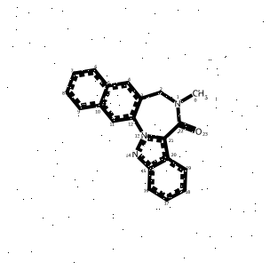 CN1Cc2cc3ccccc3cc2-n2nc3ccccc3c2C1=O